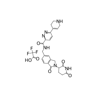 O=C(O)C(F)(F)F.O=C1CCC(N2Cc3cc(CNC(=O)c4ccc(C5=CCNCC5)nn4)ccc3C2=O)C(=O)N1